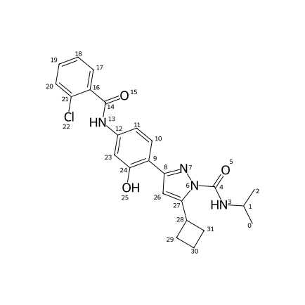 CC(C)NC(=O)n1nc(-c2ccc(NC(=O)c3ccccc3Cl)cc2O)cc1C1CCC1